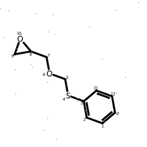 c1ccc(SCOCC2CO2)cc1